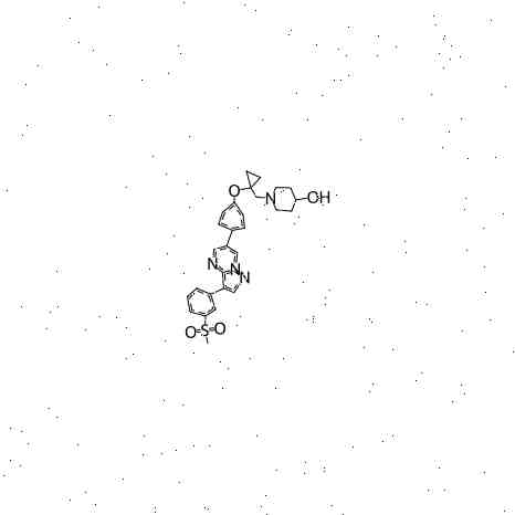 CS(=O)(=O)c1cccc(-c2cnn3cc(-c4ccc(OC5(CN6CCC(O)CC6)CC5)cc4)cnc23)c1